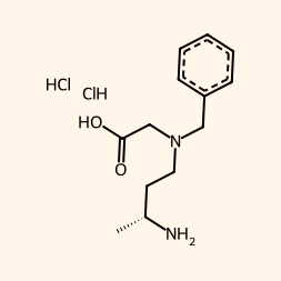 C[C@@H](N)CCN(CC(=O)O)Cc1ccccc1.Cl.Cl